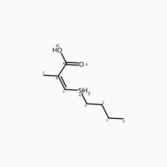 CCCC[SiH2]C=C(C)C(=O)O